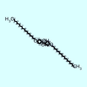 CCCCCCCCCCCCCCCCCCOc1ccc([Si](O)(O)c2ccc(OCCCCCCCCCCCCCCCCCC)cc2)cc1